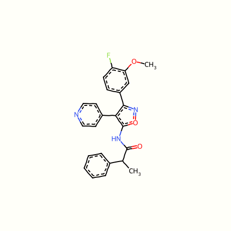 COc1cc(-c2noc(NC(=O)C(C)c3ccccc3)c2-c2ccncc2)ccc1F